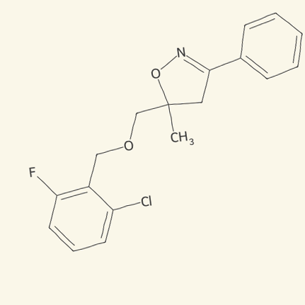 CC1(COCc2c(F)cccc2Cl)CC(c2ccccc2)=NO1